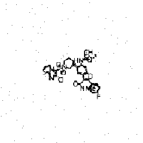 CNC(=O)c1c(-c2ccc(F)cc2)oc2cc(N[S@+](C)[O-])c([C@H]3CCCN(S(=O)(=O)c4c(Cl)nc5sccn45)C3)cc12